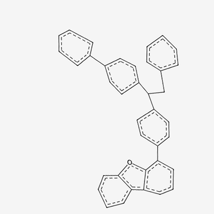 c1ccc(CC(c2ccc(-c3ccccc3)cc2)c2ccc(-c3cccc4c3oc3ccccc34)cc2)cc1